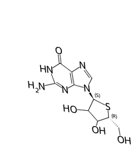 Nc1nc2c(ncn2[C@H]2S[C@H](CO)C(O)C2O)c(=O)[nH]1